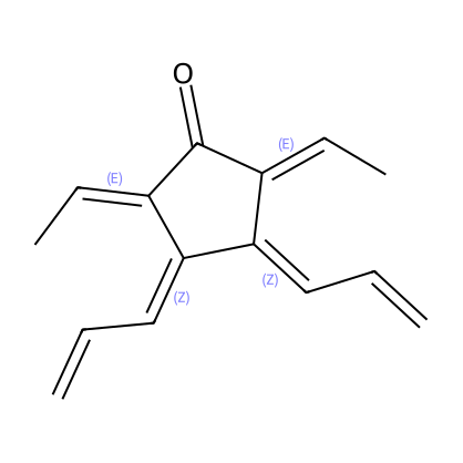 C=C/C=C1/C(=C/C=C)/C(=C\C)C(=O)/C1=C/C